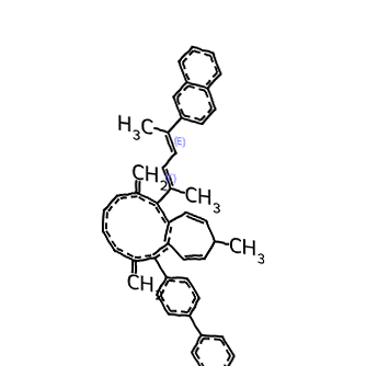 C=c1ccccc(=C)c(-c2ccc(-c3ccccc3)cc2)c2c(c1/C(C)=C/C=C(\C)c1ccc3ccccc3c1)C=CC(C)C=C2